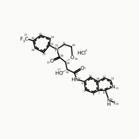 Cl.O=C(Nc1ccc2c(NI)nccc2c1)[C@H](O)[C@H]1OCCN(c2ccc(C(F)(F)F)cc2)C1=O